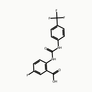 O=C(Nc1ccc(C(F)(F)F)cc1)Nc1ccc(F)cc1C(=O)O